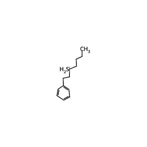 CCCC[SiH2]CCc1ccccc1